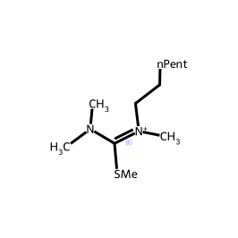 CCCCCCC/[N+](C)=C(/SC)N(C)C